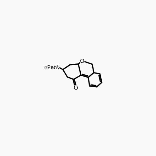 CCCCCC1CC(=O)C2=C3C=CC=CC3COC2C1